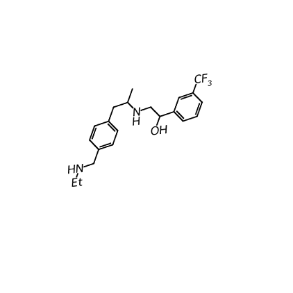 CCNCc1ccc(CC(C)NCC(O)c2cccc(C(F)(F)F)c2)cc1